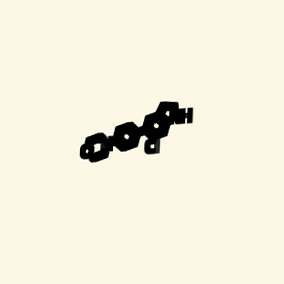 Clc1cc2c(cc1-c1ccc(N3CCOCC3)cc1)CCN2